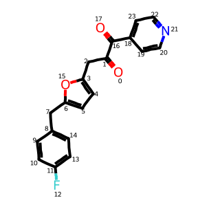 O=C(Cc1ccc(Cc2ccc(F)cc2)o1)C(=O)c1ccncc1